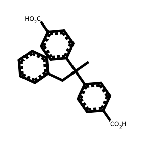 CC(Cc1ccccc1)(c1ccc(C(=O)O)cc1)c1ccc(C(=O)O)cc1